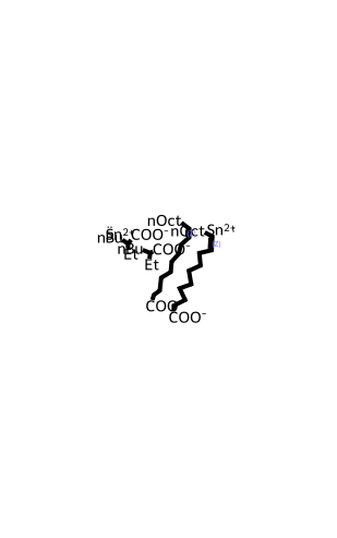 CCCCC(CC)C(=O)[O-].CCCCC(CC)C(=O)[O-].CCCCCCCC/C=C\CCCCCCCC(=O)[O-].CCCCCCCC/C=C\CCCCCCCC(=O)[O-].[Sn+2].[Sn+2]